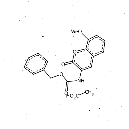 CC(=O)O.COc1cccc2cc(NC(=O)OCc3ccccc3)c(=O)oc12